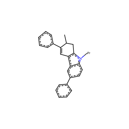 CC1Cc2c(c3cc(-c4ccccc4)ccc3n2C(C)C)C=C1c1ccccc1